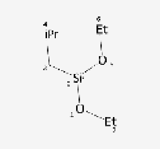 CCO[Si](CC(C)C)OCC